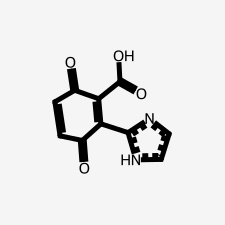 O=C(O)C1=C(c2ncc[nH]2)C(=O)C=CC1=O